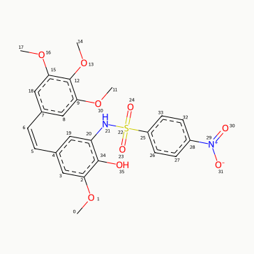 COc1cc(/C=C\c2cc(OC)c(OC)c(OC)c2)cc(NS(=O)(=O)c2ccc([N+](=O)[O-])cc2)c1O